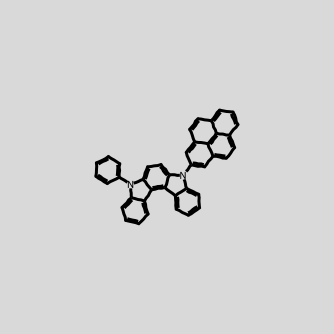 c1ccc(-n2c3ccccc3c3c4c5ccccc5n(-c5cc6ccc7cccc8ccc(c5)c6c78)c4ccc32)cc1